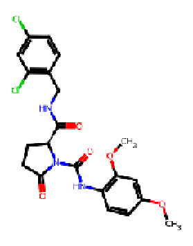 COc1ccc(NC(=O)N2C(=O)CC[C@H]2C(=O)NCc2ccc(Cl)cc2Cl)c(OC)c1